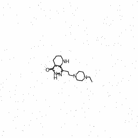 CCN1CCN(CCc2n[nH]c(=O)c3c2NCCC3)CC1